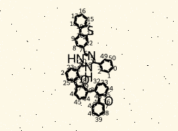 c1ccc(C2N=C(c3ccc4c(c3)sc3ccccc34)NC(c3cccc4c3oc3c(-c5cccc6oc7ccccc7c56)cccc34)N2)cc1